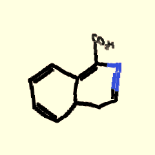 O=C(O)C1=C2C=CC=CC2CC=N1